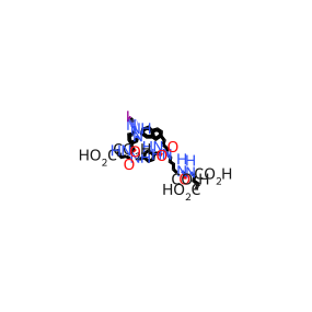 O=C(O)CCC(NC(=O)NC(CCCCNC(=O)C(Cc1ccc2ccccc2c1)NC(=O)C1CCC(CNC(=O)C(CC(C(=O)O)C(=O)O)NC(=O)c2ccc(N/N=C/I)nc2)CC1)C(=O)O)C(=O)O